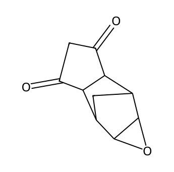 O=C1CC(=O)C2C3CC(C4OC34)C12